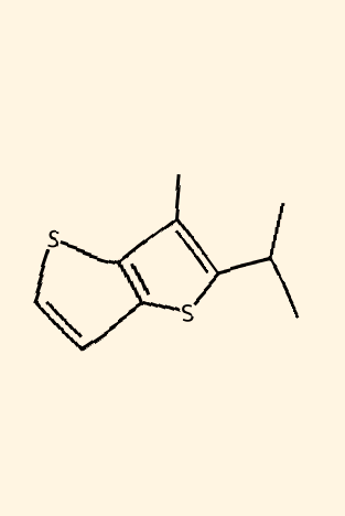 Cc1c(C(C)C)sc2ccsc12